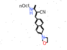 C=C(NCCCCCCCC)/C(C#N)=C/c1ccc2cc(N3CCOC3)ccc2c1